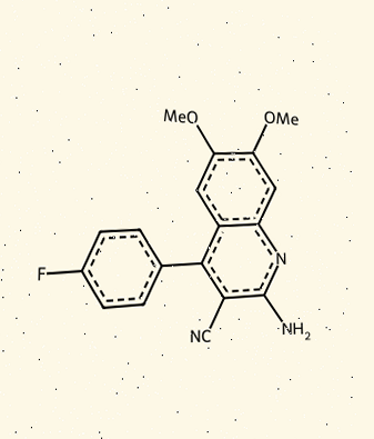 COc1cc2nc(N)c(C#N)c(-c3ccc(F)cc3)c2cc1OC